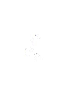 COc1c(-c2cn(CC(=O)Nc3cc(N4CCOCC4)nc(F)c3Cl)c3nc4n(c(=O)c23)CCC4)cc(C=O)c(O)c1OC